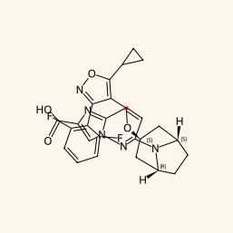 O=C(O)c1cn2nc(N3[C@@H]4CC[C@H]3C[C@H](OCc3c(-c5c(F)cccc5F)noc3C3CC3)C4)ccc2n1